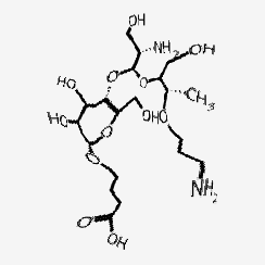 C[C@H](OCCCN)C(CO)O[C@@H](O[C@@H]1C(CO)O[C@@H](OCCCC(=O)O)C(O)C1O)[C@@H](N)CO